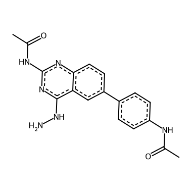 CC(=O)Nc1ccc(-c2ccc3nc(NC(C)=O)nc(NN)c3c2)cc1